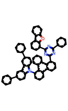 c1ccc(-c2ccc3c(c2)c2cc(-c4ccccc4)ccc2n3-c2cccc3c4cccc(-c5nc(-c6ccccc6)nc(-c6cccc7c6oc6ccccc67)n5)c4c4ccccc4c23)cc1